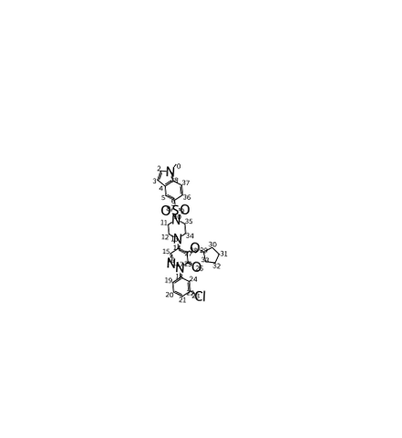 Cn1ccc2cc(S(=O)(=O)N3CCN(c4cnn(-c5cccc(Cl)c5)c(=O)c4OC4CCCC4)CC3)ccc21